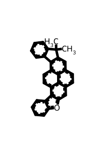 CC1(C)c2ccccc2-c2c1cc1ccc3cc4oc5ccccc5c4c4ccc2c1c34